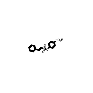 O=C(O)c1ccc(OS(=O)(=O)/C=C/c2ccccc2)cc1